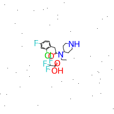 CCN(C(=O)Cc1ccc(F)cc1Cl)C1CCNCC1.O=C(O)C(F)(F)F